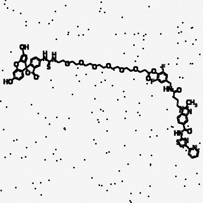 Cc1nc2cc(C(=O)Nc3nc(-c4ccccn4)cs3)ccc2n1CCCC(=O)NCc1cc(F)c(OC(=O)CCOCCOCCOCCOCCOCCOCCNC(=S)Nc2ccc3c(c2)C(=O)OC32c3ccc(O)cc3Oc3cc(O)ccc32)c(F)c1